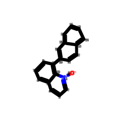 [O-][n+]1cccc2cccc(-c3ccc4ccccc4c3)c21